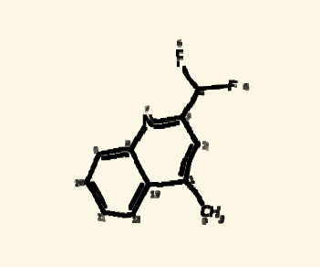 Cc1cc(C(F)F)nc2ccccc12